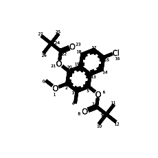 COc1c(C)c(OC(=O)C(C)(C)C)c2cc(Cl)ccc2c1OC(=O)C(C)(C)C